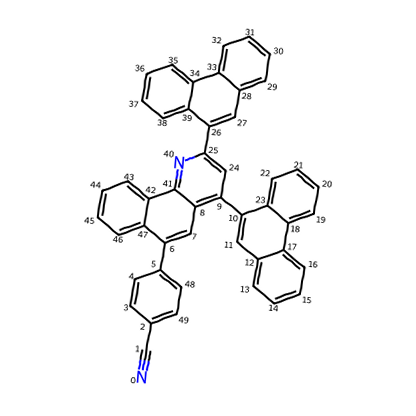 N#Cc1ccc(-c2cc3c(-c4cc5ccccc5c5ccccc45)cc(-c4cc5ccccc5c5ccccc45)nc3c3ccccc23)cc1